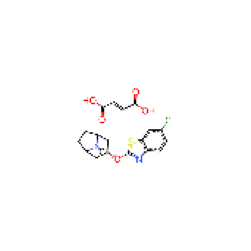 CN1C2CCC1CC(Oc1nc3ccc(Cl)cc3s1)C2.O=C(O)/C=C/C(=O)O